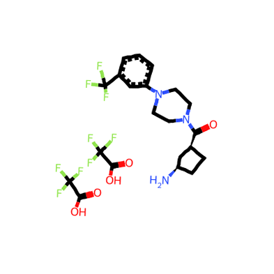 N[C@@H]1CC[C@H](C(=O)N2CCN(c3cccc(C(F)(F)F)c3)CC2)C1.O=C(O)C(F)(F)F.O=C(O)C(F)(F)F